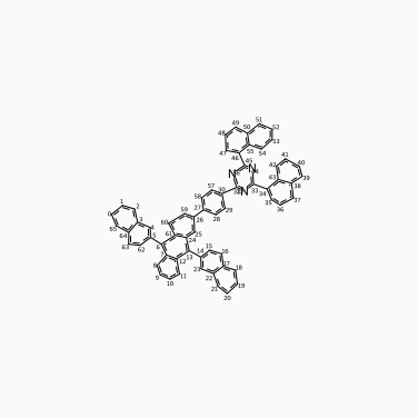 c1ccc2cc(-c3c4ccccc4c(-c4ccc5ccccc5c4)c4cc(-c5ccc(-c6nc(-c7cccc8ccccc78)nc(-c7cccc8ccccc78)n6)cc5)ccc34)ccc2c1